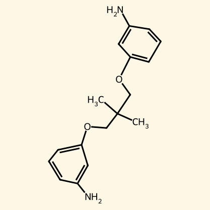 CC(C)(COc1cccc(N)c1)COc1cccc(N)c1